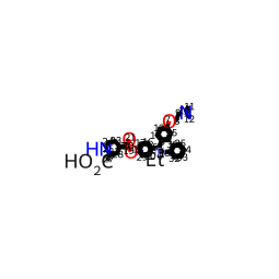 CC/C(=C(/c1ccc(OCCN(C)C)cc1)c1ccc(OC(=O)C2CCNC(C(=O)O)C2)cc1)c1ccccc1